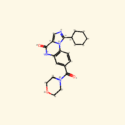 O=C(c1ccc2c(c1)[nH]c(=O)c1cnc(C3CCCCC3)n12)N1CCOCC1